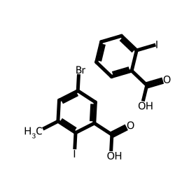 Cc1cc(Br)cc(C(=O)O)c1I.O=C(O)c1ccccc1I